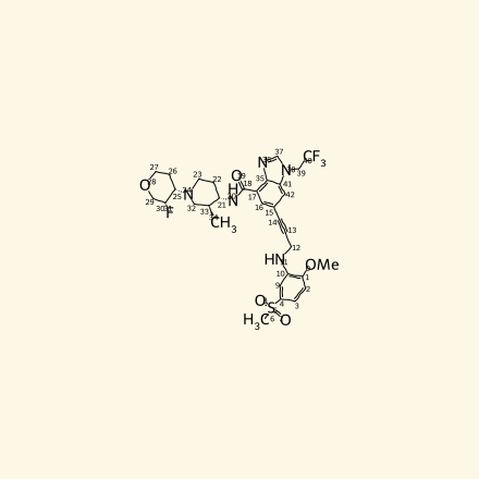 COc1ccc(S(C)(=O)=O)cc1NCC#Cc1cc(C(=O)N[C@H]2CCN([C@H]3CCOC[C@H]3F)C[C@@H]2C)c2ncn(CC(F)(F)F)c2c1